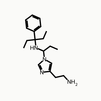 CCC(NC(CC)(CC)c1ccccc1)n1cnc(CCN)c1